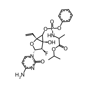 C=C[C@]12O[C@@H](n3ccc(N)nc3=O)[C@H](F)[C@@]1(O)C2OP(=O)(NC(C)C(=O)OC(C)C)Oc1ccccc1